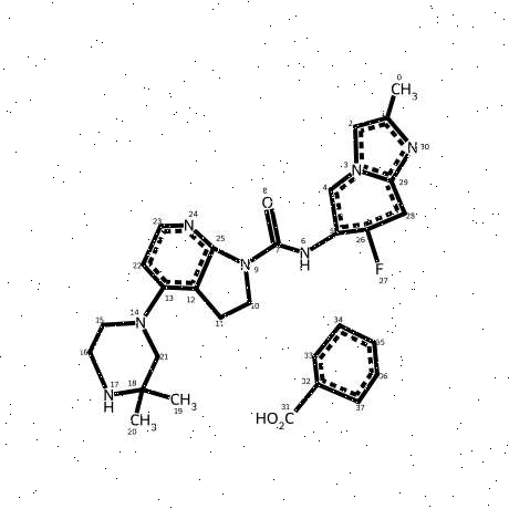 Cc1cn2cc(NC(=O)N3CCc4c(N5CCNC(C)(C)C5)ccnc43)c(F)cc2n1.O=C(O)c1ccccc1